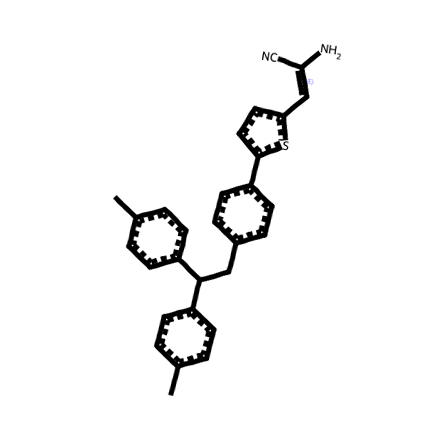 Cc1ccc(C(Cc2ccc(-c3ccc(/C=C(/N)C#N)s3)cc2)c2ccc(C)cc2)cc1